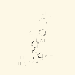 Cc1cc(Nc2ncc(Cl)c(Nc3cn(C)nc3S(=O)(=O)CC(C)C)n2)c(OC2CC2)cc1C1CCN(C)CC1